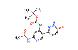 CC(=O)Nc1cc(NC(=O)OC(C)(C)C)c(-c2ccc(=O)[nH]n2)cn1